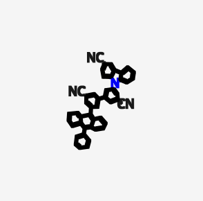 N#Cc1cc(-c2cc(C#N)cc(-n3c4ccccc4c4cc(C#N)ccc43)c2)cc(-c2c3ccccc3c(-c3ccccc3)c3ccccc23)c1